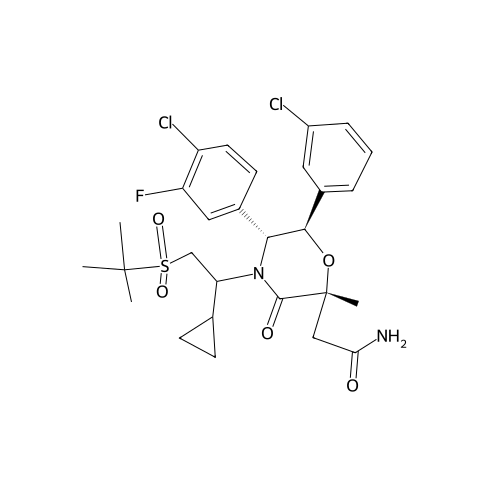 CC(C)(C)S(=O)(=O)CC(C1CC1)N1C(=O)[C@@](C)(CC(N)=O)O[C@H](c2cccc(Cl)c2)[C@H]1c1ccc(Cl)c(F)c1